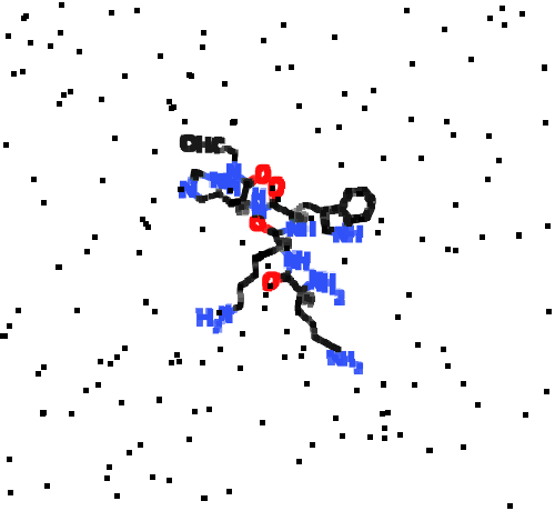 NCCCC[C@H](NC(=O)[C@@H](N)CCCCN)C(=O)N[C@@H](Cc1c[nH]c2ccccc12)C(=O)N[C@@H](CC1CN=CN1)C(=O)NCC=O